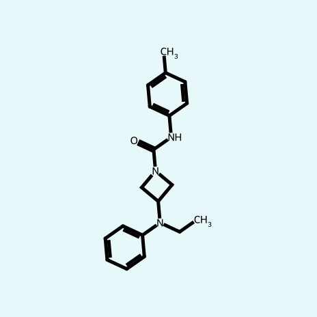 CCN(c1ccccc1)C1CN(C(=O)Nc2ccc(C)cc2)C1